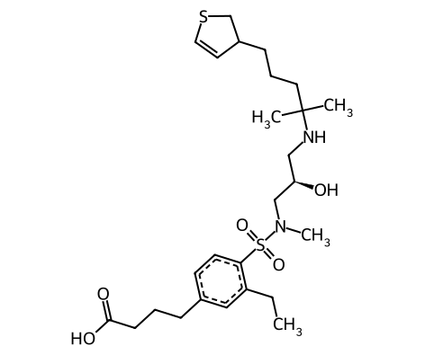 CCc1cc(CCCC(=O)O)ccc1S(=O)(=O)N(C)C[C@H](O)CNC(C)(C)CCCC1C=CSC1